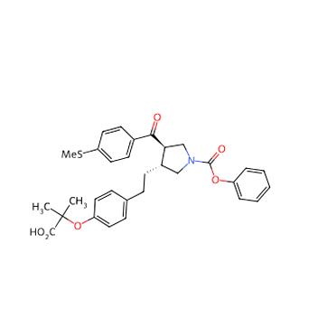 CSc1ccc(C(=O)[C@H]2CN(C(=O)Oc3ccccc3)C[C@@H]2CCc2ccc(OC(C)(C)C(=O)O)cc2)cc1